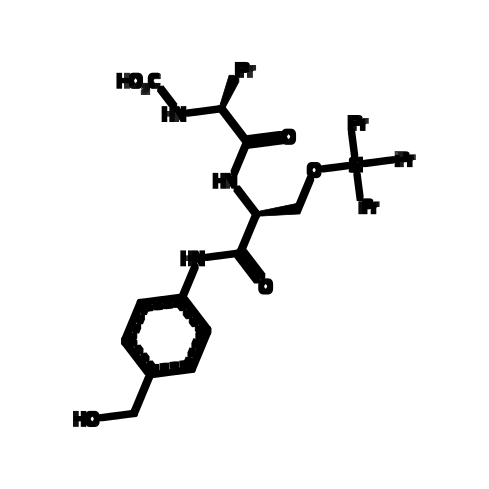 CC(C)[C@H](NC(=O)O)C(=O)N[C@@H](CO[Si](C(C)C)(C(C)C)C(C)C)C(=O)Nc1ccc(CO)cc1